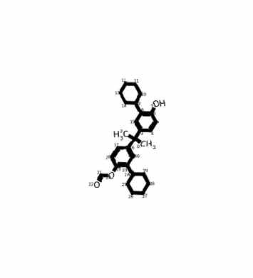 CC(C)(c1ccc(O)c(C2CCCCC2)c1)c1ccc(OC=O)c(C2CCCCC2)c1